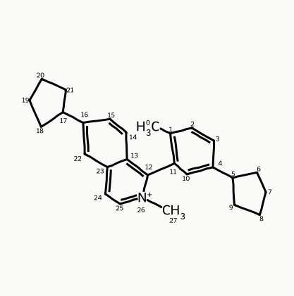 Cc1ccc(C2CCCC2)cc1-c1c2ccc(C3CCCC3)cc2cc[n+]1C